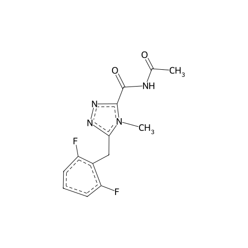 CC(=O)NC(=O)c1nnc(Cc2c(F)cccc2F)n1C